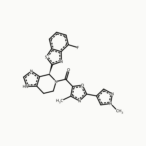 Cc1nc(-c2cnn(C)c2)oc1C(=O)N1CCc2[nH]cnc2[C@H]1c1nc2c(F)cccc2s1